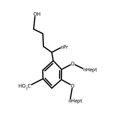 CCCCCCCOc1cc(C(=O)O)cc(C(CCC)CCCO)c1OCCCCCCC